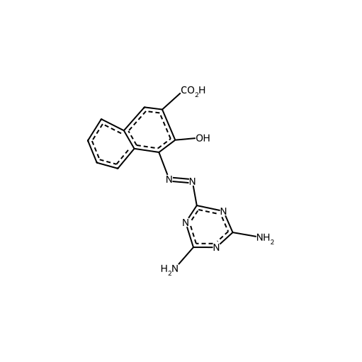 Nc1nc(N)nc(/N=N/c2c(O)c(C(=O)O)cc3ccccc23)n1